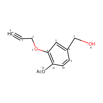 C#CCOc1cc(CO)ccc1OC(C)=O